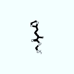 CCOC(=O)/C(F)=C/CC1OCCO1